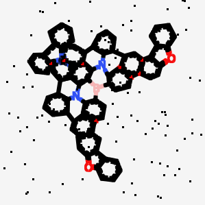 c1ccc(-c2cccc(-c3ccccc3)c2N2c3cc(-c4ccc5oc6ccccc6c5c4)ccc3B3c4ccc(-c5ccc6oc7ccccc7c6c5)cc4N(c4c(-c5ccccc5)cccc4-c4ccccc4)c4cc(-n5c6ccccc6c6ccccc65)cc2c43)cc1